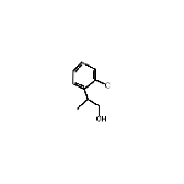 CC(CO)c1ccccc1Cl